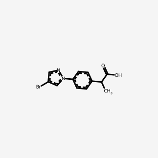 CC(C(=O)O)c1ccc(-n2cc(Br)cn2)cc1